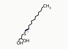 CCCCCCCCCC/C=C/SCC(O)CO